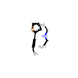 CC#Cc1cccs1.CCNCC